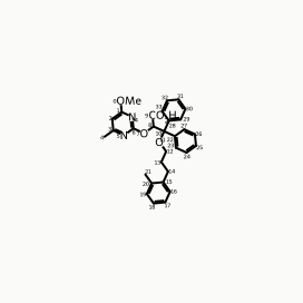 COc1cc(C)nc(OC(C(=O)O)C(OCCCc2ccccc2C)(c2ccccc2)c2ccccc2)n1